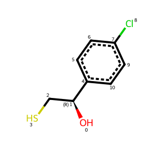 O[C@@H](CS)c1ccc(Cl)cc1